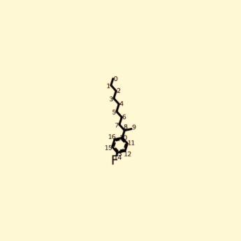 CCCCCCCCC(C)c1ccc(F)cc1